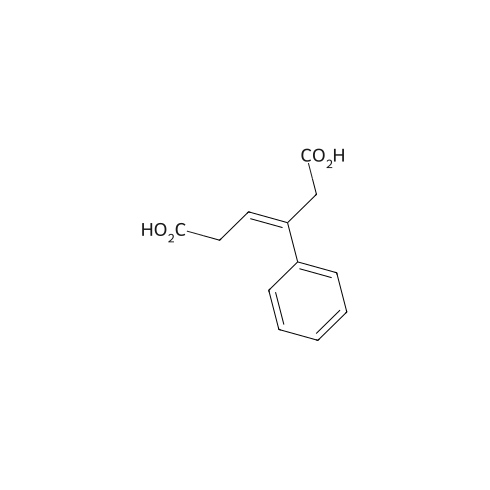 O=C(O)C/C=C(/CC(=O)O)c1ccccc1